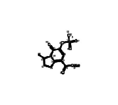 COC(=O)c1cc(OS(=O)(=O)C(F)(F)F)c(=O)n2c1CCC2C